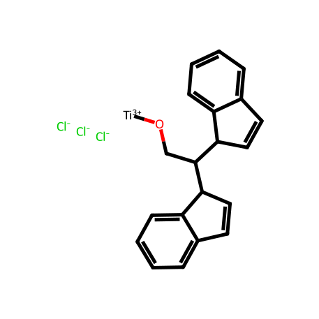 [Cl-].[Cl-].[Cl-].[Ti+3][O]CC(C1C=Cc2ccccc21)C1C=Cc2ccccc21